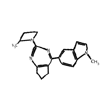 CC1CCN1c1nc2c(c(-c3ccc4c(ccn4C)c3)n1)CCC2